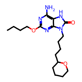 CCCCOc1nc(N)c2[nH]c(=O)n(CCCCC3CCCCO3)c2n1